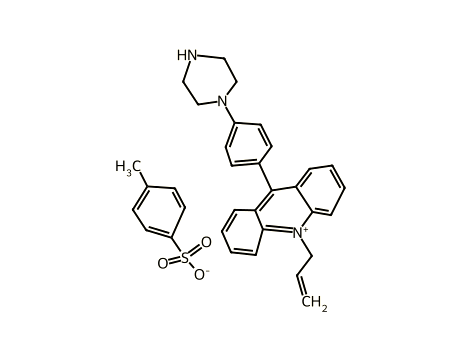 C=CC[n+]1c2ccccc2c(-c2ccc(N3CCNCC3)cc2)c2ccccc21.Cc1ccc(S(=O)(=O)[O-])cc1